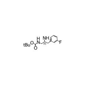 CC(C)(C)OC(=O)NC[C@@H](N)Cc1cccc(F)c1